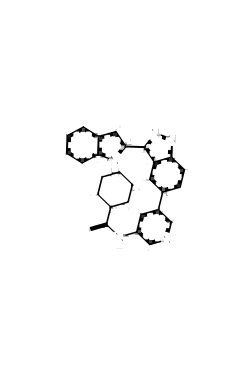 C=C(Nc1cncc(-c2ccc3[nH]nc(-c4cc5ccccc5[nH]4)c3c2)c1)C1CCCCC1